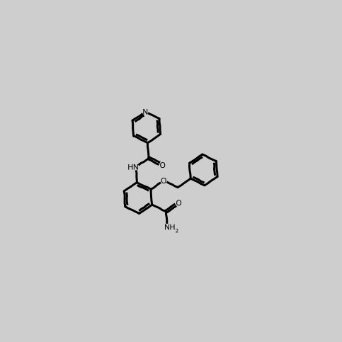 NC(=O)c1cccc(NC(=O)c2ccncc2)c1OCc1ccccc1